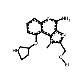 CCOCc1nc2c(N)nc3cccc(OC4CCNC4)c3c2n1C